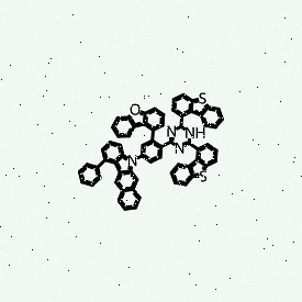 c1ccc(-c2cccc3c2c2cc4ccccc4cc2n3-c2ccc(C3=NC(c4cccc5sc6ccccc6c45)NC(c4cccc5sc6ccccc6c45)=N3)c(-c3cccc4oc5ccccc5c34)c2)cc1